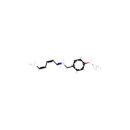 C\C=C/C=C\C=N\Cc1ccc(OC)cc1